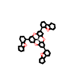 c1ccc2c(c1)oc1c(-c3cc4c5c(c3)Oc3cc(-c6cccc7c6oc6ccccc67)cc6c3B5c3c(cc(-c5cccc7c5oc5ccccc57)cc3O6)O4)cccc12